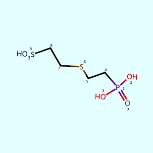 O=P(O)(O)CCSCCS(=O)(=O)O